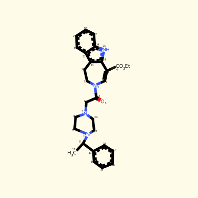 CCOC(=O)C1=CN(C(=O)CN2CCN(C(C)c3ccccc3)CC2)CCc2c1[nH]c1ccccc21